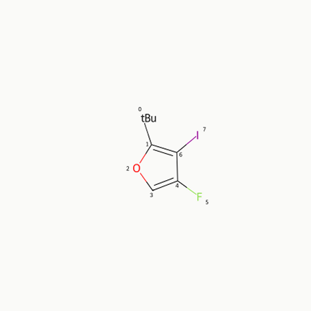 CC(C)(C)c1occ(F)c1I